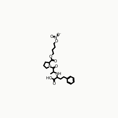 CC(NC(CCc1ccccc1)C(=O)O)C(=O)N1CCCC1C(=O)OCCCCO[N+](=O)[O-]